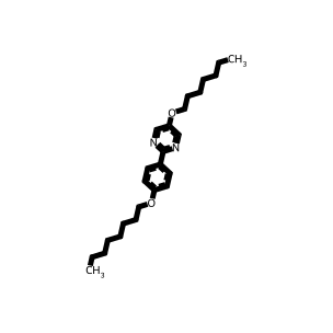 CCCCCCCCOc1ccc(-c2ncc(OCCCCCCC)cn2)cc1